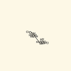 N=C(NCCCCCCNC(=N)NC(=N)NC1=CC=C(Cl)CC1)NC(=N)NC1=CC=C(Cl)CC1